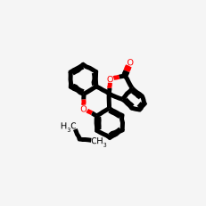 CCC.O=C1OC2(c3ccccc3Oc3ccccc32)c2ccccc21